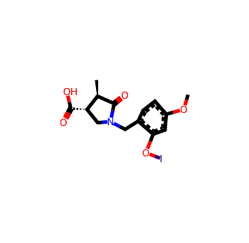 COc1ccc(CN2C[C@H](C(=O)O)[C@@H](C)C2=O)c(OI)c1